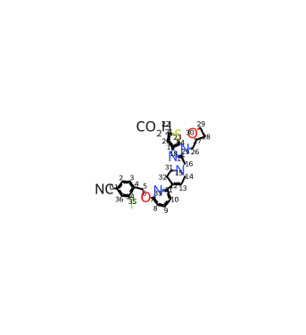 N#Cc1ccc(COc2cccc(C3=CCN(Cc4nc5cc(C(=O)O)sc5n4CC4CCO4)CC3)n2)c(F)c1